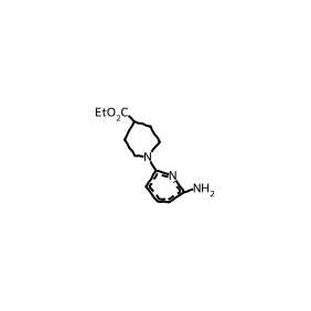 CCOC(=O)C1CCN(c2cccc(N)n2)CC1